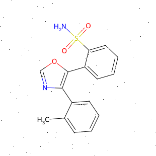 Cc1ccccc1-c1ncoc1-c1ccccc1S(N)(=O)=O